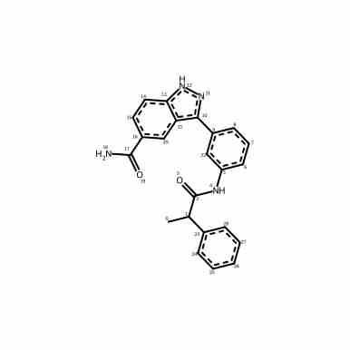 CC(C(=O)Nc1cccc(-c2n[nH]c3ccc(C(N)=O)cc23)c1)c1ccccc1